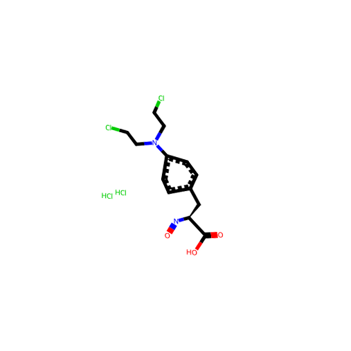 Cl.Cl.O=N[C@@H](Cc1ccc(N(CCCl)CCCl)cc1)C(=O)O